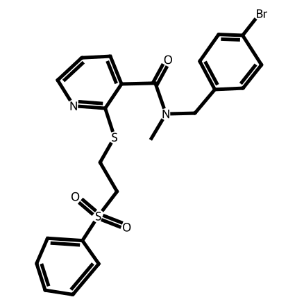 CN(Cc1ccc(Br)cc1)C(=O)c1cccnc1SCCS(=O)(=O)c1ccccc1